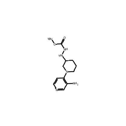 CC(C)(C)OC(=O)NNC1CCCN(c2ccncc2N)C1